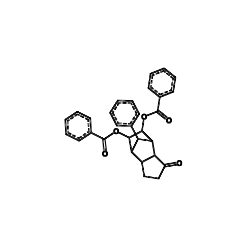 O=C(OC1C(OC(=O)c2ccccc2)C2C3C(=O)CCC3C1C2c1ccccc1)c1ccccc1